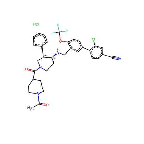 CC(=O)N1CCC(C(=O)N2CC[C@H](NCc3cc(-c4ccc(C#N)cc4Cl)ccc3OC(F)(F)F)[C@H](c3ccccc3)C2)CC1.Cl